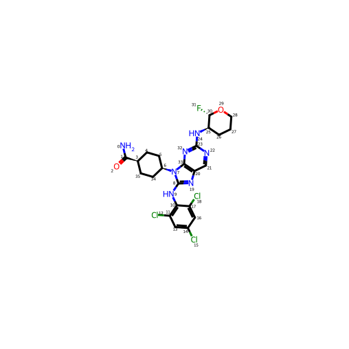 NC(=O)[C@H]1CC[C@@H](n2c(Nc3c(Cl)cc(Cl)cc3Cl)nc3cnc(N[C@@H]4CCCO[C@H]4F)nc32)CC1